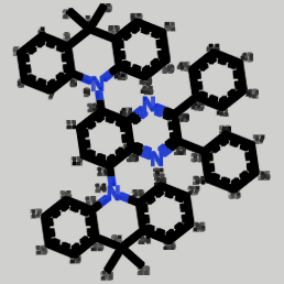 CC1(C)c2ccccc2N(c2ccc(N3c4ccccc4C(C)(C)c4ccccc43)c3nc(-c4ccccc4)c(-c4ccccc4)nc23)c2ccccc21